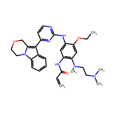 C=CC(=O)Nc1cc(Nc2nccc(-c3c4n(c5ccccc35)CCOC4)n2)c(OCC)cc1N(C)CCN(C)C